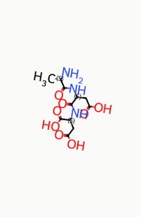 C[C@H](N)C(=O)N[C@@H](CC(=O)O)C(=O)N[C@@H](CC(=O)O)C(=O)O